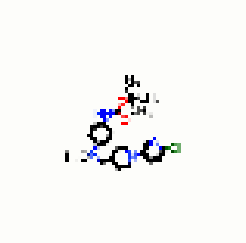 CN(CC1CCN(c2ccc(Cl)nc2)CC1)C1CCC(NC(=O)OC(C)(C)C)CC1